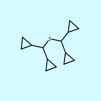 C1CC1C(SC(C1CC1)C1CC1)C1CC1